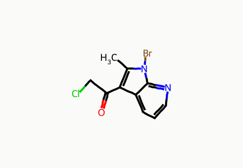 Cc1c(C(=O)CCl)c2cccnc2n1Br